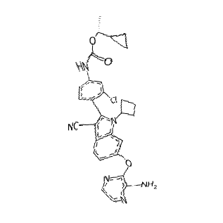 C[C@@H](OC(=O)Nc1ccc(-c2c(C#N)c3ccc(Oc4nccnc4N)cc3n2C2CCC2)c(Cl)c1)C1CC1